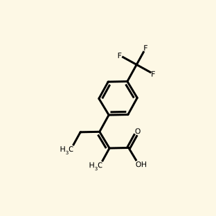 CCC(=C(C)C(=O)O)c1ccc(C(F)(F)F)cc1